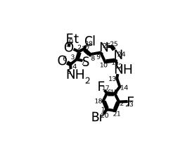 CCOc1c(C(N)=O)sc(-c2cc(NCCc3c(F)cc(Br)cc3F)ncn2)c1Cl